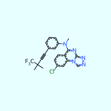 CN(c1cccc(C#CC(C)(C)C(F)(F)F)c1)c1nc2nncn2c2cc(Cl)ccc12